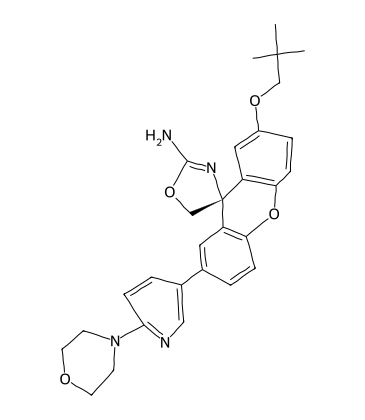 CC(C)(C)COc1ccc2c(c1)[C@]1(COC(N)=N1)c1cc(-c3ccc(N4CCOCC4)nc3)ccc1O2